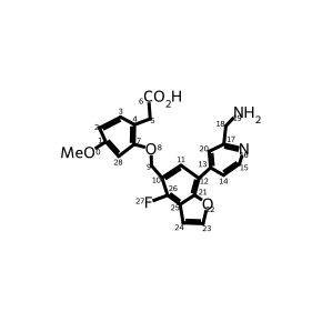 COc1ccc(CC(=O)O)c(OCc2cc(-c3ccnc(CN)c3)c3occc3c2F)c1